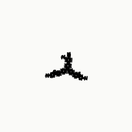 N#Cc1ccc2c(c1)sc1cc(-c3ccc(N(c4ccc(-c5ccc(C#N)c(C#N)c5)cc4)c4ccc(-c5ccc6c(c5)sc5cc(C#N)ccc56)cc4)cc3)ccc12